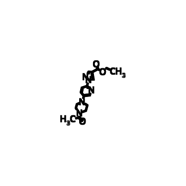 CCOC(=O)c1cnn(-c2ccc(N3CCN(C(C)=O)CC3)cn2)c1